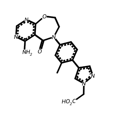 Cc1cc(N2CCOc3ncnc(N)c3C2=O)ccc1-c1cnn(CC(=O)O)c1